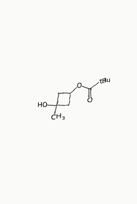 CC1(O)CC(OC(=O)C(C)(C)C)C1